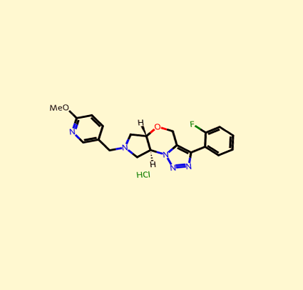 COc1ccc(CN2C[C@@H]3OCc4c(-c5ccccc5F)nnn4[C@H]3C2)cn1.Cl